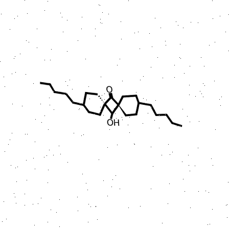 CCCCCC1CC[C@]2(CC1)C(=O)[C@@]1(CCC(CCCCC)CC1)C2O